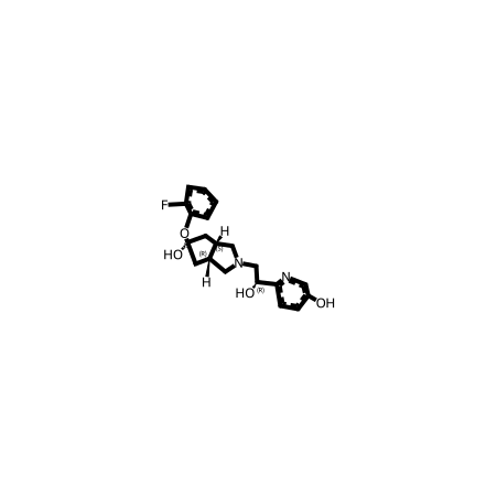 Oc1ccc([C@H](O)CN2C[C@@H]3C[C@@](O)(Oc4ccccc4F)C[C@@H]3C2)nc1